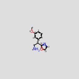 COc1cccc(C(CN)c2ncco2)c1